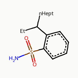 CCCCCCCC(CC)c1ccccc1S(N)(=O)=O